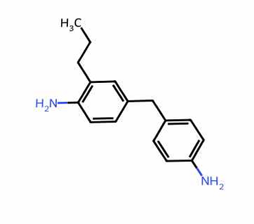 CCCc1cc(Cc2ccc(N)cc2)ccc1N